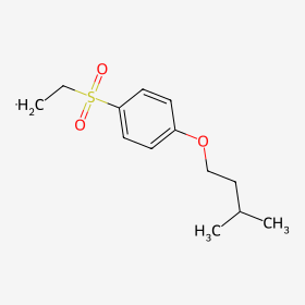 [CH2]CS(=O)(=O)c1ccc(OCCC(C)C)cc1